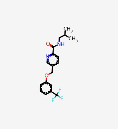 CC(C)CNC(=O)c1ccc(COc2cccc(C(F)(F)F)c2)cn1